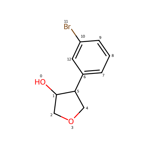 OC1COCC1c1cccc(Br)c1